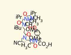 CC[C@H](C)[C@@H]([C@@H](CC(=O)N1C[C@H](C#N)C[C@H]1[C@H](OC)[C@@H](C)C(=O)N[C@@H](Cc1ccc(O)cc1)C(=O)O)OC)N(C)C(=O)[C@@H](NC(=O)[C@H](C(C)C)N(C)C)C(C)C